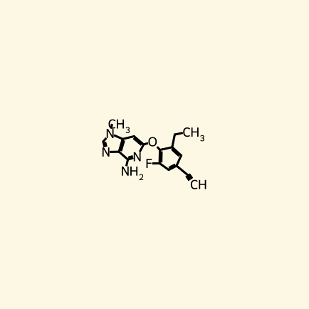 C#Cc1cc(F)c(Oc2cc3c(ncn3C)c(N)n2)c(CC)c1